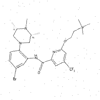 C[C@@H]1CN(c2ccc(Br)cc2NC(=O)c2cc(C(F)(F)F)cc(OCC[Si](C)(C)C)n2)C[C@H](C)N1C